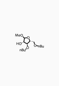 CCCCOC[C@H]1OC(OC)[C@@H](O)[C@@H]1OCCCC